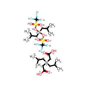 CC(C)C[Si](CC(=O)O)(CC(=O)O)CC(C)C.CC(C)C[Si](CC(C)C)(OS(=O)(=O)C(F)(F)F)OS(=O)(=O)C(F)(F)F